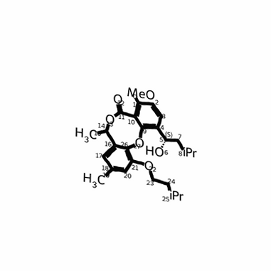 COc1ccc([C@@H](O)CC(C)C)c2c1C(=O)OC(C)c1cc(C)cc(OCCC(C)C)c1O2